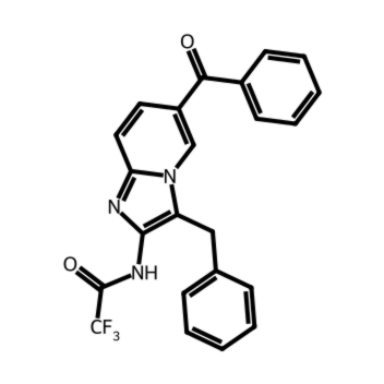 O=C(c1ccccc1)c1ccc2nc(NC(=O)C(F)(F)F)c(Cc3ccccc3)n2c1